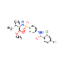 COC(=O)C(NS(=O)(=O)c1ccc(NC(=O)c2ccc(Cl)cc2Cl)cc1)C(C)C